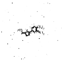 Nc1cc(C2=CCC(CO)S2)ccc1[N+](=O)[O-]